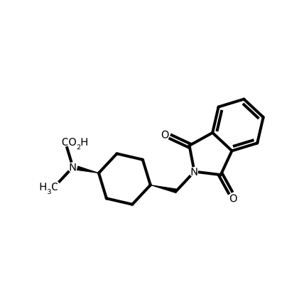 CN(C(=O)O)[C@H]1CC[C@@H](CN2C(=O)c3ccccc3C2=O)CC1